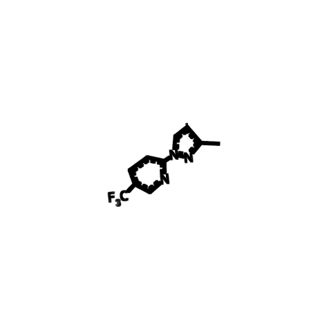 Cc1[c]cn(-c2ccc(C(F)(F)F)cn2)n1